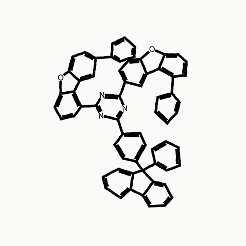 c1ccc(-c2ccc3oc4cccc(-c5nc(-c6ccc(C7(c8ccccc8)c8ccccc8-c8ccccc87)cc6)nc(-c6ccc7oc8cccc(-c9ccccc9)c8c7c6)n5)c4c3c2)cc1